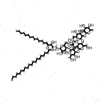 CCCCCCCCCCCCC/C=C/[C@@H](O)[C@H](CO[C@@H]1OC(CO)[C@@H](O[C@@H]2OC(CO)[C@H](O)[C@H](O[C@@H]3OC(CO)[C@@H](O[C@@H]4OC(CO)[C@H](O)[C@H](O)C4O[C@H]4OC(C)[C@@H](O)C(O)[C@@H]4O)[C@H](O)C3NC(C)=O)C2O)[C@H](O)C1O)NC(=O)CCCCCCCCCCCCCCCCCCC